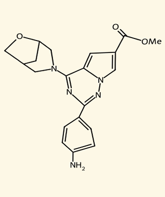 COC(=O)c1cc2c(N3CC4COC(C4)C3)nc(-c3ccc(N)cc3)nn2c1